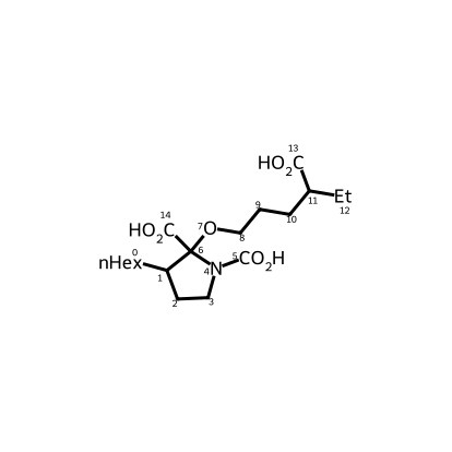 CCCCCCC1CCN(C(=O)O)C1(OCCCC(CC)C(=O)O)C(=O)O